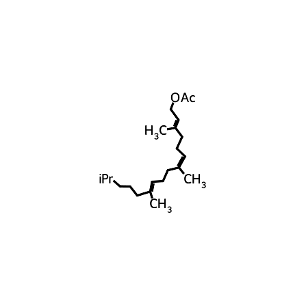 CC(=O)OC/C=C(\C)CCC=C(C)CC/C=C(\C)CCCC(C)C